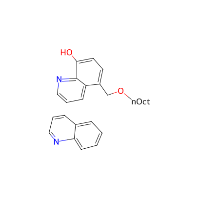 CCCCCCCCOCc1ccc(O)c2ncccc12.c1ccc2ncccc2c1